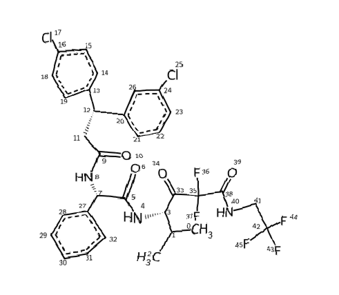 CC(C)[C@H](NC(=O)[C@@H](NC(=O)C[C@H](c1ccc(Cl)cc1)c1cccc(Cl)c1)c1ccccc1)C(=O)C(F)(F)C(=O)NCC(F)(F)F